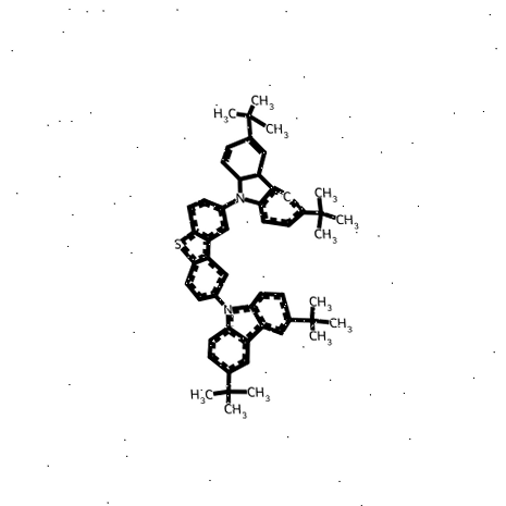 CC(C)(C)C1=CC2c3cc(C(C)(C)C)ccc3N(c3ccc4sc5ccc(-n6c7ccc(C(C)(C)C)cc7c7cc(C(C)(C)C)ccc76)cc5c4c3)C2C=C1